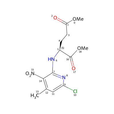 COC(=O)CC[C@H](Nc1nc(Cl)cc(C)c1[N+](=O)[O-])C(=O)OC